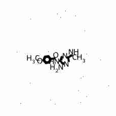 COc1ccc(C(=O)NC2=CN=C(C(C)=N)CN=C2N)cc1